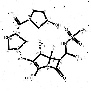 CC(NS(=O)(=O)C(F)(F)F)[C@H]1C(=O)N2C(C(=O)O)=C(S[C@@H]3CN[C@H](C(=O)N4CC[C@@H](O)C4)C3)[C@H](C)[C@H]12